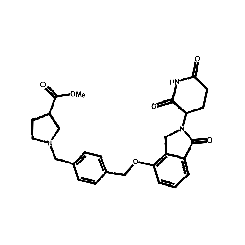 COC(=O)C1CCN(Cc2ccc(COc3cccc4c3CN(C3CCC(=O)NC3=O)C4=O)cc2)C1